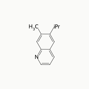 Cc1cc2ncccc2cc1C(C)C